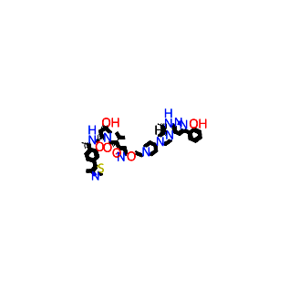 Cc1ncsc1-c1ccc([C@H](C)NC(=O)[C@@H]2C[C@@H](O)CN2C(=O)[C@@H](c2cc(OCCN3CCC(N4CCN5c6cc(-c7ccccc7O)nnc6N[C@@H](C)[C@@H]5C4)CC3)no2)C(C)C)cc1